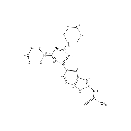 CC(=O)Nc1nc2cc(-c3nc(N4CCOCC4)nc(N4CCOCC4)n3)ccc2o1